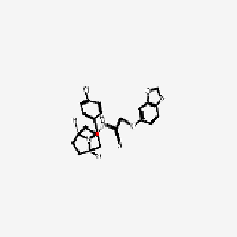 O=C(COc1ccc2c(c1)OCO2)N[C@H]1C[C@H]2CC[C@@H](C1)N2Cc1ccc(Cl)cc1